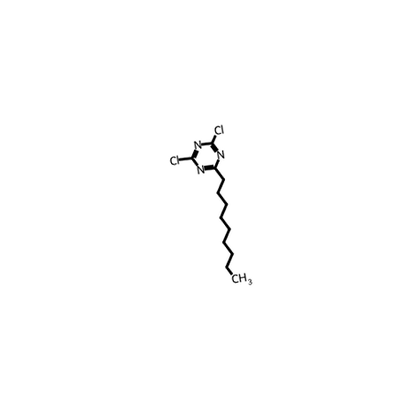 CCCCCCCCCc1nc(Cl)nc(Cl)n1